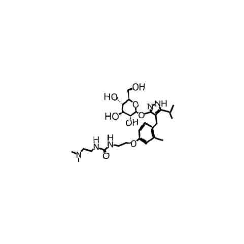 Cc1cc(OCCNC(=O)NCCN(C)C)ccc1Cc1c(O[C@@H]2O[C@H](CO)[C@@H](O)[C@H](O)[C@H]2O)n[nH]c1C(C)C